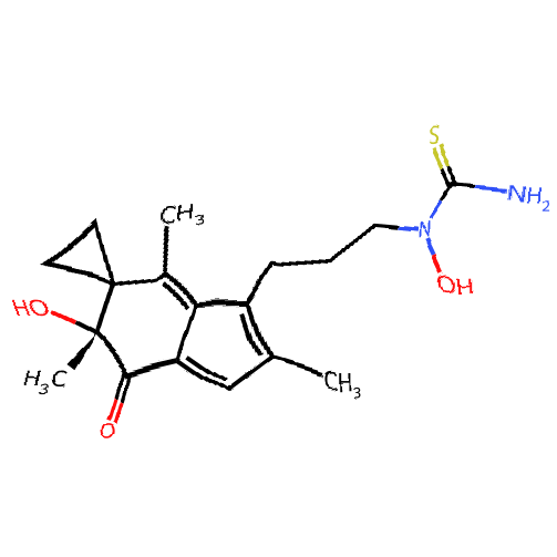 CC1=C(CCCN(O)C(N)=S)C2=C(C)C3(CC3)[C@@](C)(O)C(=O)C2=C1